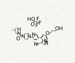 CC(C)CNC(=O)N1CCN(c2ccc(-c3cc(OCCCO)cn4ncc(C#N)c34)cn2)CC1.O=C(O)C(F)(F)F